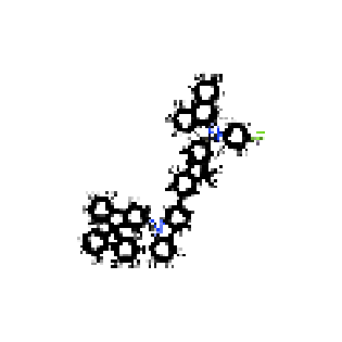 CC1(C)c2cc(-c3ccc4c5ccccc5n(-c5ccc6c(c5)C(c5ccccc5)(c5ccccc5)c5ccccc5-6)c4c3)ccc2-c2ccc(N(c3ccc(F)cc3)c3cc4ccccc4c4ccccc34)cc21